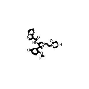 O=C(Nc1cn(CCN2CCNCC2=O)nc1-c1cc(Cl)ccc1OC(F)F)c1cnn2cccnc12